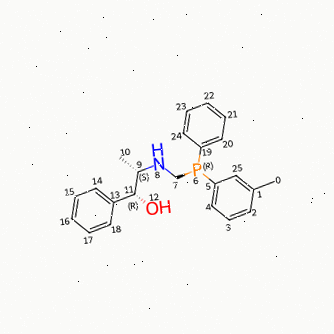 Cc1cccc([P@@](CN[C@@H](C)[C@H](O)c2ccccc2)c2ccccc2)c1